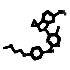 COCCOc1ccc(Nc2ncc(F)c(N3CC4(CC4)c4ccc(N)cc43)n2)cc1